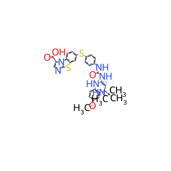 COc1ccc(N/C(=C\C(=N)C(C)(C)C)NC(=O)Nc2ccc(Sc3ccc4c(c3)sc3ncc(C(=O)O)n34)cc2)cc1